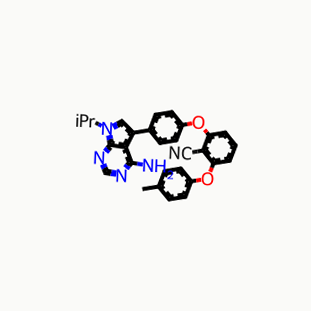 Cc1ccc(Oc2cccc(Oc3ccc(-c4cn(C(C)C)c5ncnc(N)c45)cc3)c2C#N)cc1